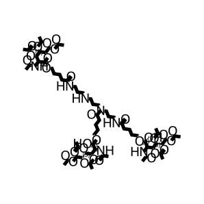 CC(=O)NC1C(OC(C)=O)[C@@H](OC(C)=O)C(COC(C)=O)O[C@H]1OCCCCC(=O)NCCCNCCCN(CCCNC(=O)CCCCO[C@H](O)C(NC(C)=O)C(OC(C)=O)[C@H](CCOC(C)=O)OC(C)=O)C(=O)CCCCO[C@H](O)C(NC(C)=O)C(OC(C)=O)[C@H](CCOC(C)=O)OC(C)=O